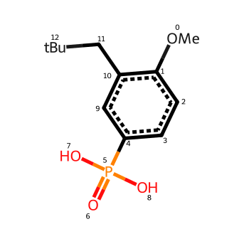 COc1ccc(P(=O)(O)O)cc1CC(C)(C)C